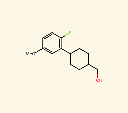 COc1ccc(F)c(C2CCC(CO)CC2)c1